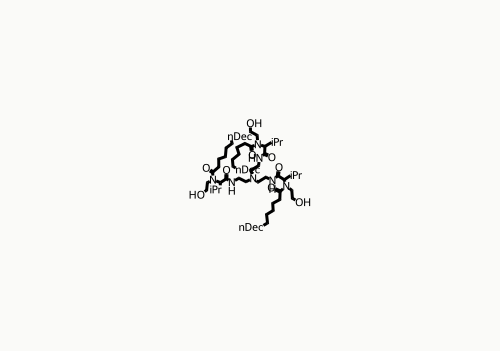 CCCCCCCCCCCCCCCC(=O)N(CCO)C(C(=O)NCCN(CCNC(=O)C(C(C)C)N(CCO)C(=O)CCCCCCCCCCCCCCC)CCNC(=O)C(C(C)C)N(CCO)C(=O)CCCCCCCCCCCCCCC)C(C)C